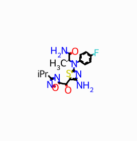 CC(C)c1noc(C(=O)c2sc(N(c3ccc(F)cc3)[C@H](C)C(N)=O)nc2N)n1